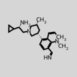 C=Nc1c(C=N)ccc([C@H]2C[C@@H](C)CN(C[C@@H](N)C3CC3)C2)c1/C=C\C